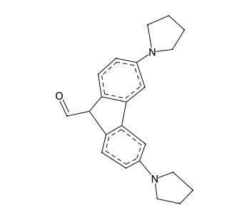 O=CC1c2ccc(N3CCCC3)cc2-c2cc(N3CCCC3)ccc21